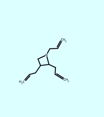 C=CCC1CN(CC=C)C1CC=C